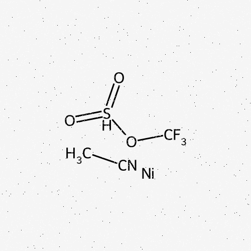 CC#N.O=[SH](=O)OC(F)(F)F.[Ni]